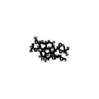 CON=CC1=C(C(=O)OC(C)(C)C)N2CCc3cc(OC)c(OC(C)C)cc3C2C1(C(N)=O)c1cccs1